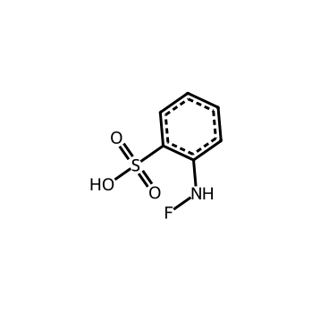 O=S(=O)(O)c1ccccc1NF